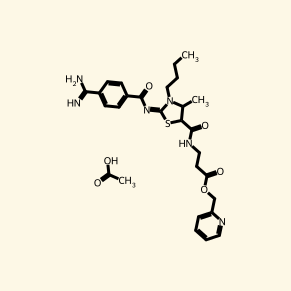 CC(=O)O.CCCCN1C(=NC(=O)c2ccc(C(=N)N)cc2)SC(C(=O)NCCC(=O)OCc2ccccn2)C1C